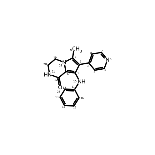 Cc1c(-c2ccncc2)c(Nc2ccccc2)c2n1CCNC2=O